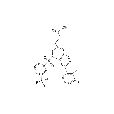 Cc1c(F)cccc1-c1ccc2c(c1)N(S(=O)(=O)c1cccc(C(F)(F)F)c1)CC(CCC(=O)O)O2